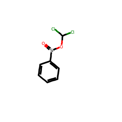 O=[Si](OC(Cl)Cl)c1ccccc1